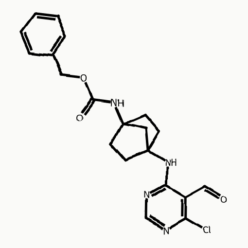 O=Cc1c(Cl)ncnc1NC12CCC(NC(=O)OCc3ccccc3)(CC1)C2